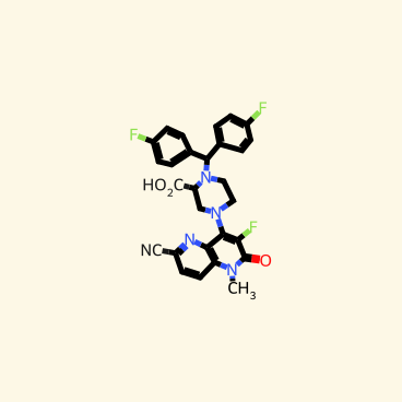 Cn1c(=O)c(F)c(N2CCN(C(c3ccc(F)cc3)c3ccc(F)cc3)C(C(=O)O)C2)c2nc(C#N)ccc21